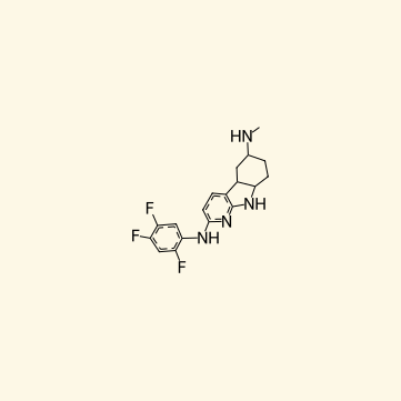 CNC1CCC2Nc3nc(Nc4cc(F)c(F)cc4F)ccc3C2C1